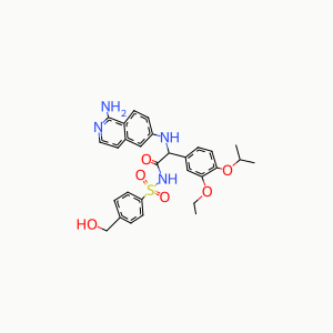 CCOc1cc(C(Nc2ccc3c(N)nccc3c2)C(=O)NS(=O)(=O)c2ccc(CO)cc2)ccc1OC(C)C